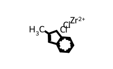 CC1=Cc2ccccc2C1.[Cl-].[Cl-].[Zr+2]